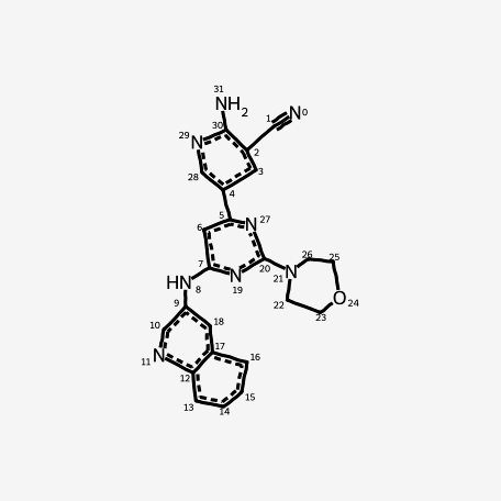 N#Cc1cc(-c2cc(Nc3cnc4ccccc4c3)nc(N3CCOCC3)n2)cnc1N